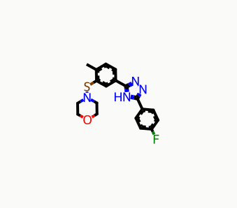 Cc1ccc(-c2nnc(-c3ccc(F)cc3)[nH]2)cc1SN1CCOCC1